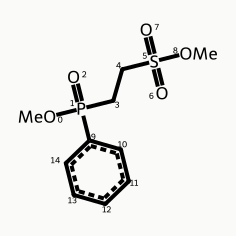 COP(=O)(CCS(=O)(=O)OC)c1ccccc1